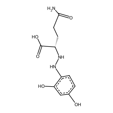 NC(=O)CC[C@H](NNc1ccc(O)cc1O)C(=O)O